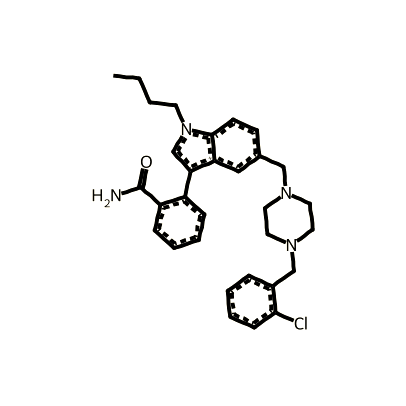 CCCCn1cc(-c2ccccc2C(N)=O)c2cc(CN3CCN(Cc4ccccc4Cl)CC3)ccc21